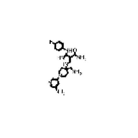 N=C(Nc1ccc(F)cc1)/C(=C\NC1(CN)CCN(c2cncc(N)c2)CC1)C(N)=O